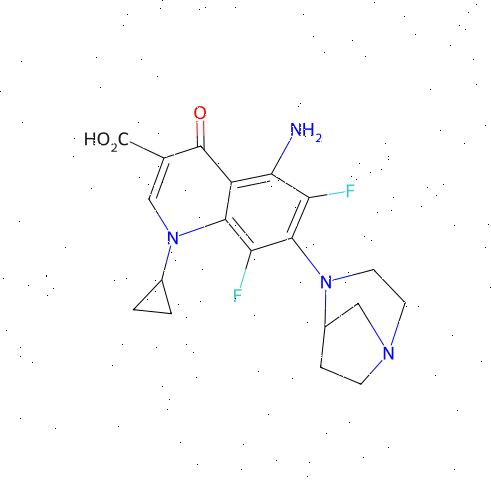 Nc1c(F)c(N2CCN3CCC2C3)c(F)c2c1c(=O)c(C(=O)O)cn2C1CC1